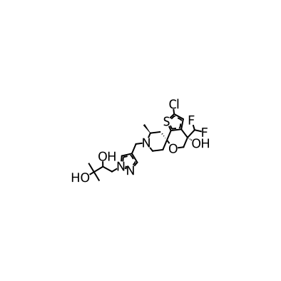 C[C@H]1C[C@@]2(CCN1Cc1cnn(CC(O)C(C)(C)O)c1)OC[C@](O)(C(F)F)c1cc(Cl)sc12